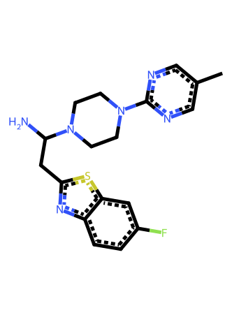 Cc1cnc(N2CCN(C(N)Cc3nc4ccc(F)cc4s3)CC2)nc1